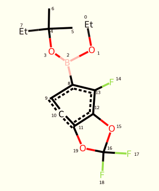 CCOB(OC(C)(C)CC)c1ccc2c(c1F)OC(F)(F)O2